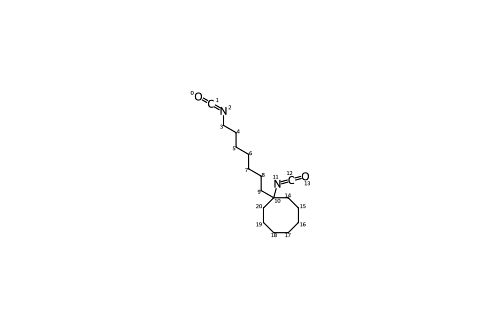 O=C=NCCCCCCCC1(N=C=O)CCCCCCC1